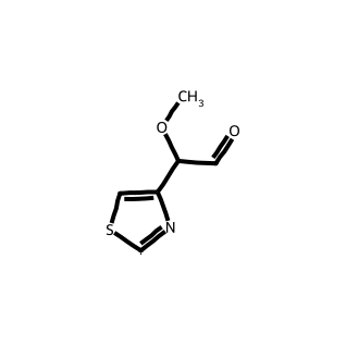 COC(C=O)c1cs[c]n1